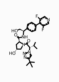 CC(C)[C@@H](C(=O)N1C[C@H](O)C[C@H]1C(=O)N[C@@H](CO)c1ccc(-c2c(F)cncc2F)cc1)n1cc(C(C)(C)C)nn1